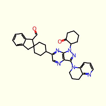 O=CC1c2ccccc2CC12CCC(c1cnc3c(N4CCCc5ncccc54)nn(C4CCCCC4=O)c3n1)CC2